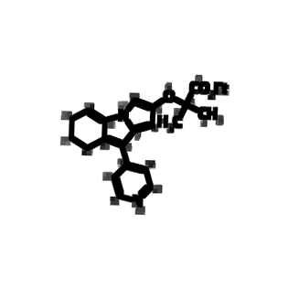 CCOC(=O)C(C)(C)Oc1cc2c(-c3ccncc3)c3c(n2c1)=CCCC3